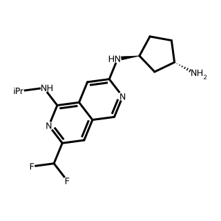 CC(C)Nc1nc(C(F)F)cc2cnc(N[C@H]3CC[C@H](N)C3)cc12